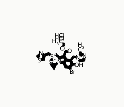 CCOC(=O)c1c(C[S+]([O-])Cc2cscn2)n(C2CC2)c2cc(Br)c(O)c(Cn3ccnc3C)c12.Cl.Cl